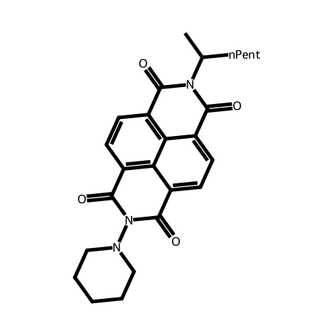 CCCCCC(C)N1C(=O)c2ccc3c4c(ccc(c24)C1=O)C(=O)N(N1CCCCC1)C3=O